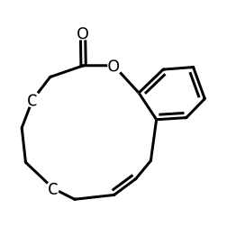 O=C1CCCCCCC=CCc2ccccc2O1